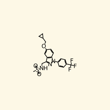 CS(=O)(=O)NCc1nn(-c2ccc(C(F)(F)F)cc2)c2ccc(OCC3CC3)cc12